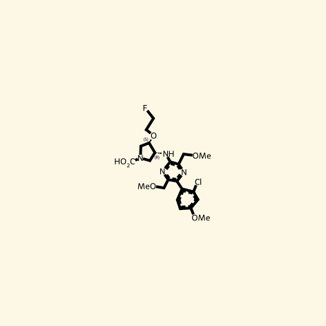 COCc1nc(-c2ccc(OC)cc2Cl)c(COC)nc1N[C@@H]1CN(C(=O)O)C[C@@H]1OCCF